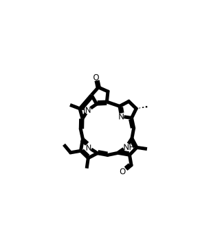 CCC1=C(C)c2cc3[nH]c(cc4nc(c5c6[nH]c(cc1n2)c(C)c6C(=O)C5)C[C@@H]4C)c(C)c3C=O